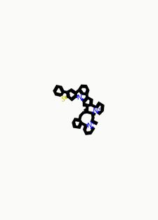 C=C1CC2(C)[n+]3ccccc3-c3cc4c5cccc6c7cc8c(cc7n(c4cc3C2(C)CCc2ccccc2-c2cccc[n+]21)c56)sc1ccccc18